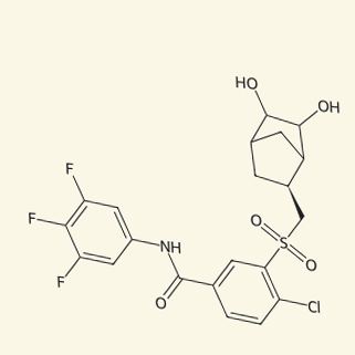 O=C(Nc1cc(F)c(F)c(F)c1)c1ccc(Cl)c(S(=O)(=O)C[C@H]2CC3CC2C(O)C3O)c1